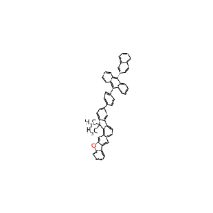 CC1(C)c2ccc(-c3ccc(-c4c5ccccc5c(-c5ccc6ccccc6c5)c5ccccc45)cc3)cc2-c2ccc3cc4c(cc3c21)oc1ccccc14